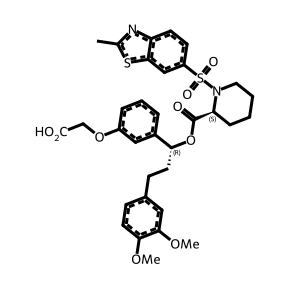 COc1ccc(CC[C@@H](OC(=O)[C@@H]2CCCCN2S(=O)(=O)c2ccc3nc(C)sc3c2)c2cccc(OCC(=O)O)c2)cc1OC